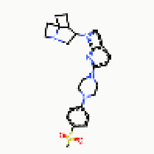 CS(=O)(=O)c1ccc(N2CCN(c3ccc4ccn(C5CN6CCC67CCC57)c4n3)CC2)cc1